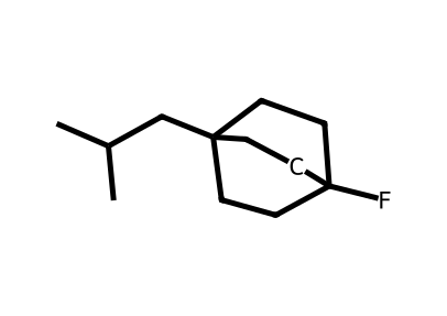 CC(C)CC12CCC(F)(CC1)CC2